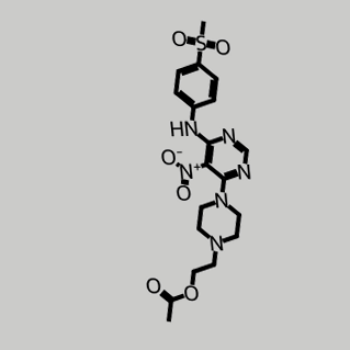 CC(=O)OCCN1CCN(c2ncnc(Nc3ccc(S(C)(=O)=O)cc3)c2[N+](=O)[O-])CC1